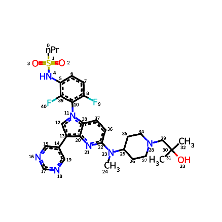 CCCS(=O)(=O)Nc1ccc(F)c(-n2cc(-c3cncnc3)c3nc(N(C)C4CCN(CC(C)(C)O)CC4)ccc32)c1F